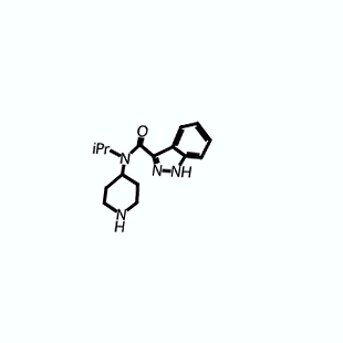 CC(C)N(C(=O)c1n[nH]c2ccccc12)C1CCNCC1